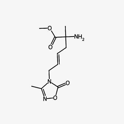 COC(=O)C(C)(N)C/C=C/Cn1c(C)noc1=O